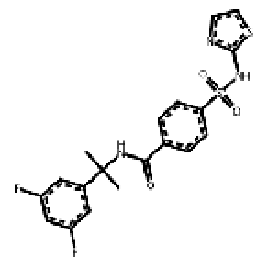 CC(C)(NC(=O)c1ccc(S(=O)(=O)Nc2nccs2)cc1)c1cc(F)cc(F)c1